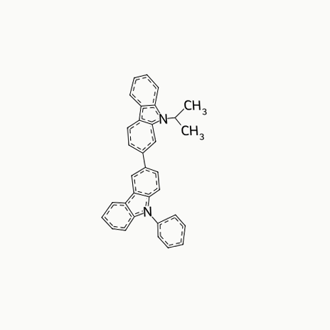 CC(C)n1c2ccccc2c2ccc(-c3ccc4c(c3)c3ccccc3n4-c3ccccc3)cc21